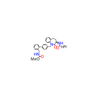 CCCC(=O)N[C@@H]1CCc2ccccc2N(Cc2ccc(-c3ccccc3CNC(=O)OC)cc2)C1=O